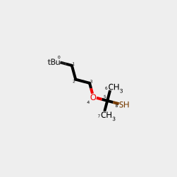 CC(C)(C)CCCOC(C)(C)S